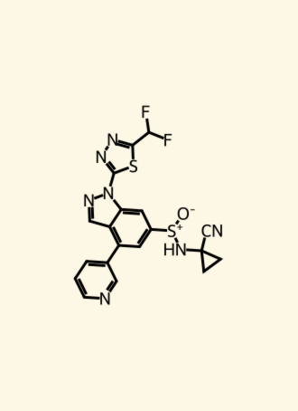 N#CC1(N[S+]([O-])c2cc(-c3cccnc3)c3cnn(-c4nnc(C(F)F)s4)c3c2)CC1